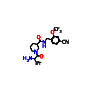 CC(C)C(N)C(=O)N1CCCC(C(=O)NCc2ccc(C#N)cc2OC(F)(F)F)C1